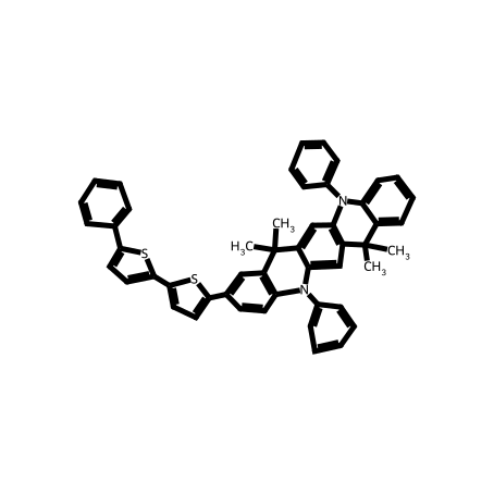 CC1(C)c2ccccc2N(c2ccccc2)c2cc3c(cc21)N(c1ccccc1)c1ccc(-c2ccc(-c4ccc(-c5ccccc5)s4)s2)cc1C3(C)C